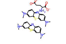 CN(C)c1ccc2nc3ccc(N(C)C)cc3[s+]c2c1.CN(C)c1ccc2nc3ccc(N(C)C)cc3[s+]c2c1.N[C@@H](CCC(=O)[O-])C(=O)[O-]